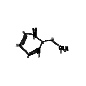 O=C(O)CC1N=CC=CN1